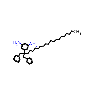 CCCCCCCCCCCCCCCCCCCC(Cc1ccccc1)(Cc1ccccc1)c1cc(N)cc(N)c1